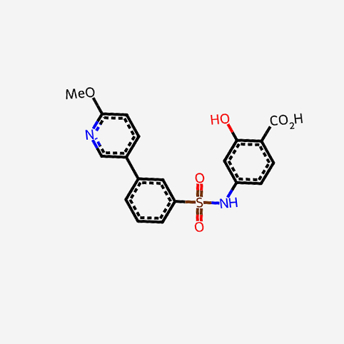 COc1ccc(-c2cccc(S(=O)(=O)Nc3ccc(C(=O)O)c(O)c3)c2)cn1